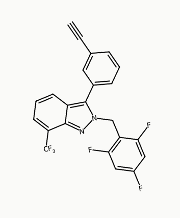 C#Cc1cccc(-c2c3cccc(C(F)(F)F)c3nn2Cc2c(F)cc(F)cc2F)c1